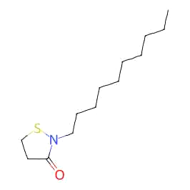 CCCCCCCCCCN1SCCC1=O